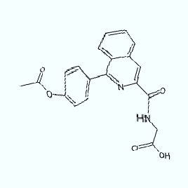 CC(=O)Oc1ccc(-c2nc(C(=O)NCC(=O)O)cc3ccccc23)cc1